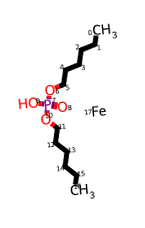 CCCCCCOP(=O)(O)OCCCCCC.[Fe]